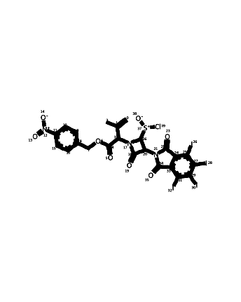 C=C(C)C(C(=O)OCc1ccc([N+](=O)[O-])cc1)N1C(=O)C(N2C(=O)c3c(I)c(I)c(I)c(I)c3C2=O)C1[S+]([O-])Cl